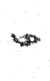 CC[C@H]1OC(=O)[C@H](C)C([C@H]2C[C@@](C)(OC)[C@@H](O)[C@H](C)O2)[C@H](C)[C@@H](O[C@@H]2O[C@H](C)C[C@H](N(C)CCc3cn(CCCOc4ccc(-c5ccoc5)cc4)nn3)[C@H]2O)[C@](C)(O)C[C@@H](C)CN(C)[C@H](C)[C@@H](O)[C@]1(C)O